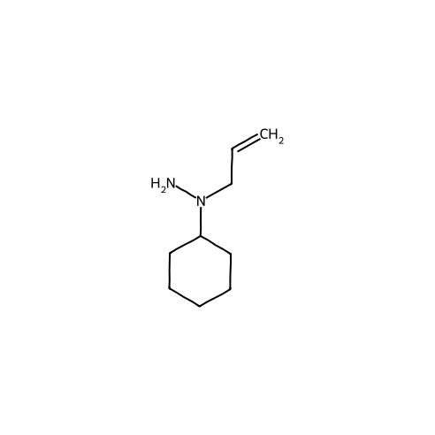 C=CCN(N)C1CCCCC1